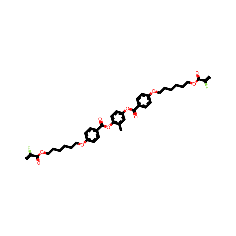 C=C(F)C(=O)OCCCCCCOc1ccc(C(=O)Oc2ccc(OC(=O)c3ccc(OCCCCCCOC(=O)C(=C)F)cc3)c(C)c2)cc1